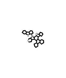 c1ccc2c(c1)oc1c2c2c3ccccc3c3ccccc3c2c2c3ccccc3n(-c3cccc4c3sc3ccccc34)c12